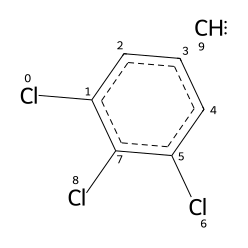 Clc1cccc(Cl)c1Cl.[CH]